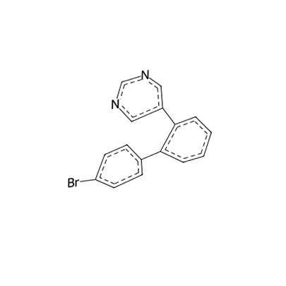 Brc1ccc(-c2ccccc2-c2cncnc2)cc1